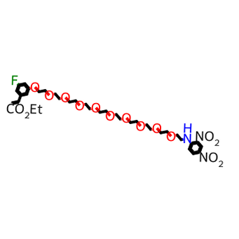 CCOC(=O)/C=C/c1cc(F)cc(OCCOCCOCCOCCOCCOCCOCCOCCOCCOCCNc2ccc([N+](=O)[O-])cc2[N+](=O)[O-])c1